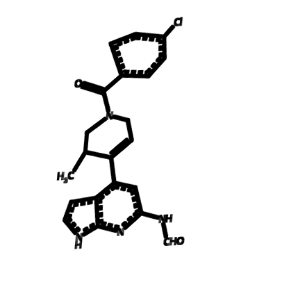 CC1CN(C(=O)c2ccc(Cl)cc2)CC=C1c1cc(NC=O)nc2[nH]ccc12